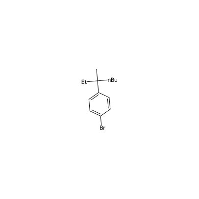 CCCCC(C)(CC)c1ccc(Br)cc1